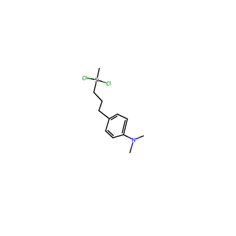 CN(C)c1ccc(CCC[Si](C)(Cl)Cl)cc1